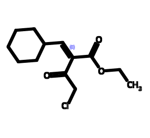 CCOC(=O)/C(=C/C1CCCCC1)C(=O)CCl